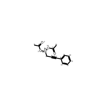 CC(=O)O[SiH](CC#Cc1ccccc1)OC(C)=O